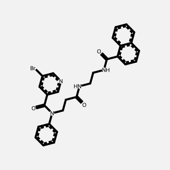 O=C(CCN(C(=O)c1cncc(Br)c1)c1ccccc1)NCCNC(=O)c1cccc2ccccc12